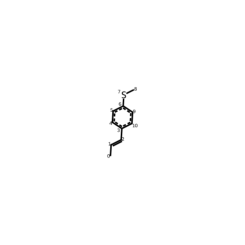 CC=Cc1ccc(SC)cc1